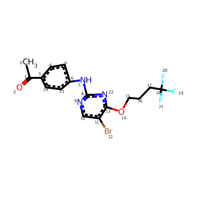 CC(=O)c1ccc(Nc2ncc(Br)c(OCCCC(F)(F)F)n2)cc1